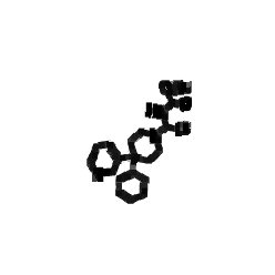 CCC(NC(=O)OCC(C)C)N1CCC(c2ccccc2)(c2cccnc2)CC1